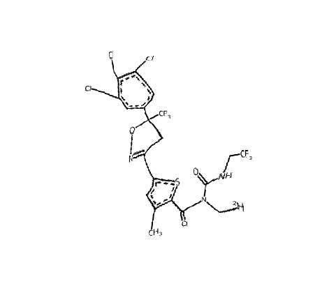 [2H]CN(C(=O)NCC(F)(F)F)C(=O)c1sc(C2=NOC(c3cc(Cl)c(Cl)c(Cl)c3)(C(F)(F)F)C2)cc1C